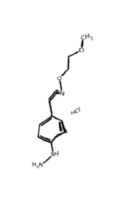 COCCON=Cc1ccc(NN)cc1.Cl